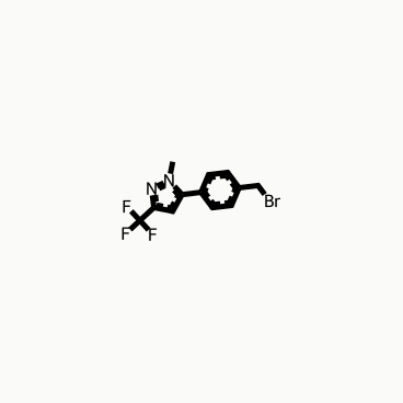 Cn1nc(C(F)(F)F)cc1-c1ccc(CBr)cc1